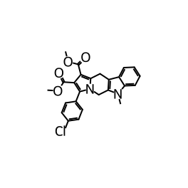 COC(=O)c1c(C(=O)OC)c(-c2ccc(Cl)cc2)n2c1Cc1c(n(C)c3ccccc13)C2